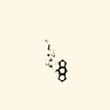 COCCNS(=O)(=O)c1nnc(Nc2c3c(cc4c2CCC4)CCC3)[nH]1